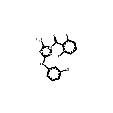 Nc1nc(Nc2cccc(Cl)c2)nn1C(=O)c1c(F)cccc1F